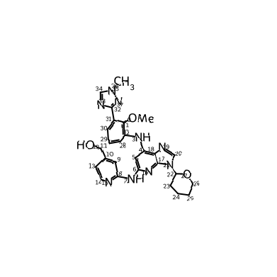 COc1c(Nc2cc(Nc3cc(CO)ccn3)nc3c2ncn3C2CCCCO2)cccc1-c1ncn(C)n1